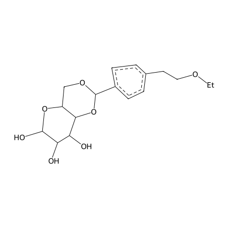 CCOCCc1ccc(C2OCC3OC(O)C(O)C(O)C3O2)cc1